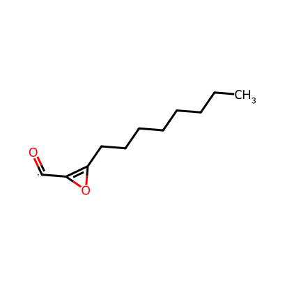 CCCCCCCCC1=C([C]=O)O1